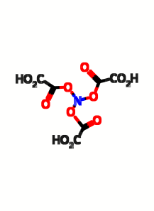 O=C(O)C(=O)ON(OC(=O)C(=O)O)OC(=O)C(=O)O